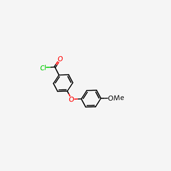 COc1ccc(Oc2ccc(C(=O)Cl)cc2)cc1